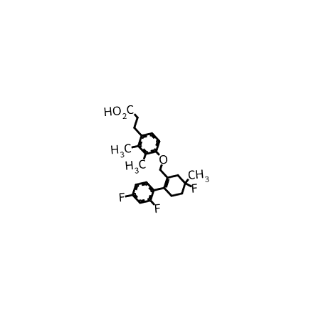 Cc1c(CCC(=O)O)ccc(OCC2=C(c3ccc(F)cc3F)CCC(C)(F)C2)c1C